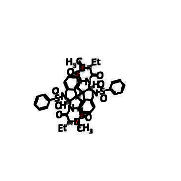 CC[C@]12SS[C@@]3(C[C@]4([C@]56C[C@@]78SS[C@@](CC)(C(=O)N7[C@H]5N(S(=O)(=O)c5ccccc5)c5ccccc56)N(C)C8=O)c5ccccc5N(S(=O)(=O)c5ccccc5)[C@@H]4N3C1=O)C(=O)N2C